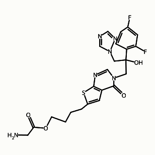 NCC(=O)OCCCCc1cc2c(=O)n(CC(O)(Cn3cncn3)c3ccc(F)cc3F)cnc2s1